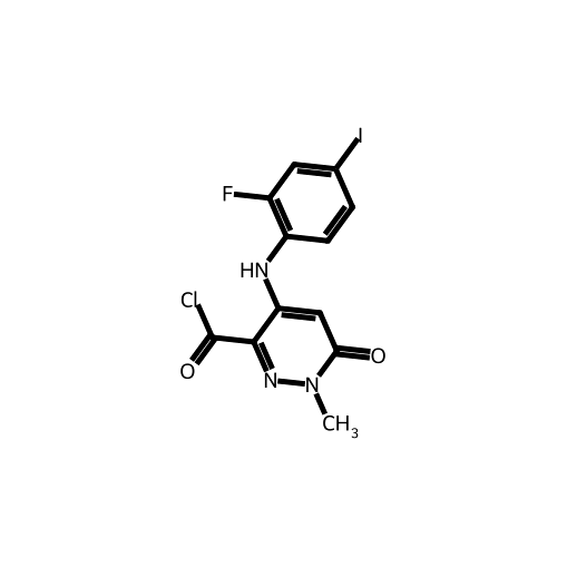 Cn1nc(C(=O)Cl)c(Nc2ccc(I)cc2F)cc1=O